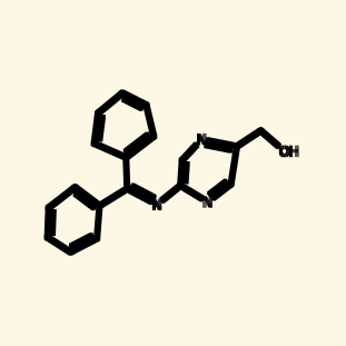 OCc1cnc(N=C(c2ccccc2)c2ccccc2)cn1